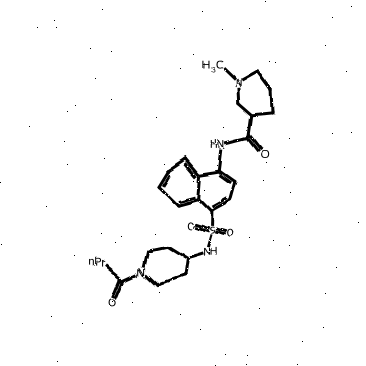 CCCC(=O)N1CCC(NS(=O)(=O)c2ccc(NC(=O)C3CCCN(C)C3)c3ccccc23)CC1